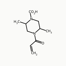 C=CC(=O)N1CC(C)N(C(=O)O)CC1C